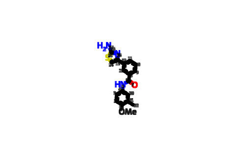 COc1ccc(NC(=O)c2cccc(-c3csc(N)n3)c2)cc1C